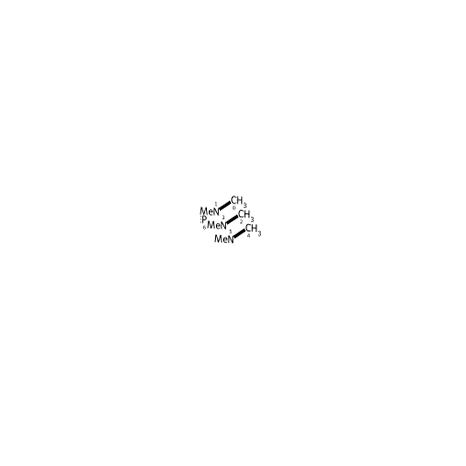 CNC.CNC.CNC.[P]